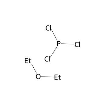 CCOCC.ClP(Cl)Cl